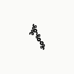 C=CC(=O)Oc1ccc(-c2ccc(OC(=O)CCc3ccc(OC(=O)C=C)c(OC(=O)C=C)c3)cc2)cc1